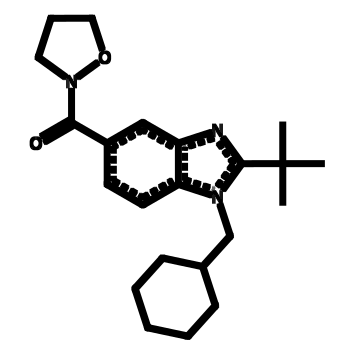 CC(C)(C)c1nc2cc(C(=O)N3CCCO3)ccc2n1CC1CCCCC1